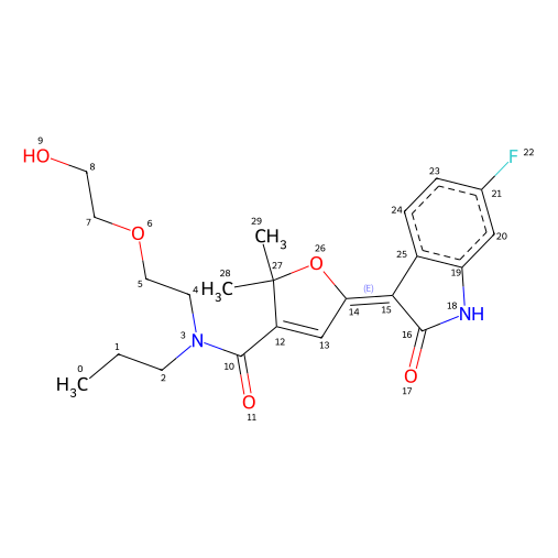 CCCN(CCOCCO)C(=O)C1=C/C(=C2\C(=O)Nc3cc(F)ccc32)OC1(C)C